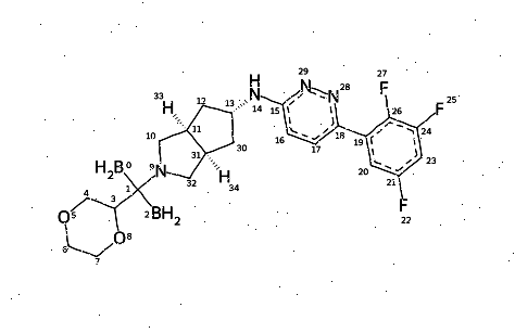 BC(B)(C1COCCO1)N1C[C@H]2C[C@H](Nc3ccc(-c4cc(F)cc(F)c4F)nn3)C[C@H]2C1